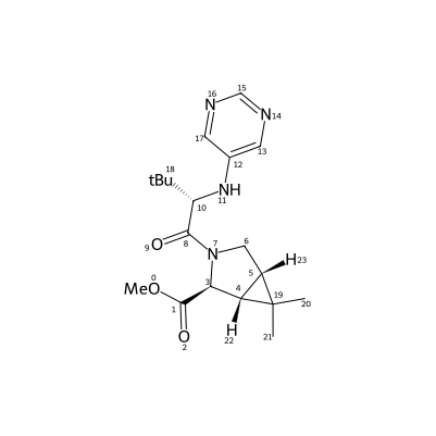 COC(=O)[C@@H]1[C@@H]2[C@H](CN1C(=O)[C@@H](Nc1cncnc1)C(C)(C)C)C2(C)C